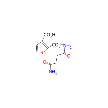 NC(=O)CCC(N)=O.O=C(O)c1ccoc1C(=O)O